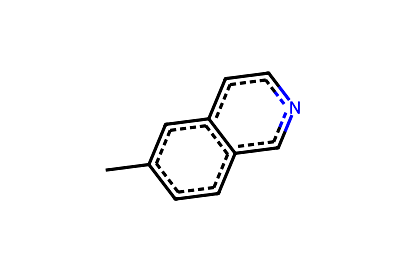 Cc1ccc2cnccc2c1